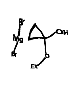 CCOC1(O)CC1.[Br][Mg][Br]